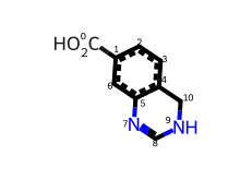 O=C(O)c1ccc2c(c1)N=CNC2